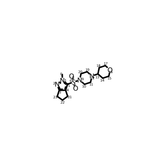 Cn1nc2c(c1S(=O)(=O)N1CCN(C3CCOCC3)CC1)CCC2